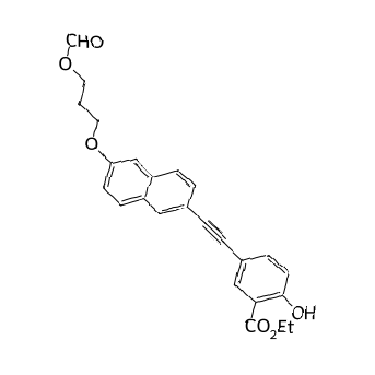 CCOC(=O)c1cc(C#Cc2ccc3cc(OCCCOC=O)ccc3c2)ccc1O